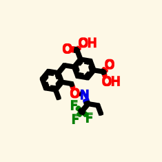 CCC(=NOCc1c(C)cccc1Cc1ccc(C(=O)O)cc1C(=O)O)C(F)(F)F